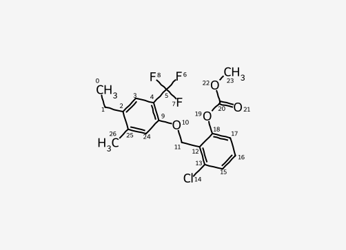 CCc1cc(C(F)(F)F)c(OCc2c(Cl)cccc2OC(=O)OC)cc1C